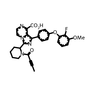 CC#CC(=O)N1CCCCC1c1nc(-c2ccc(Oc3cccc(OC)c3F)cc2)c2c(C(=O)O)nccn12